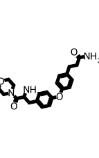 NC(=O)CCc1ccc(Oc2ccc(CC(N)C(=O)N3CCOCC3)cc2)cc1